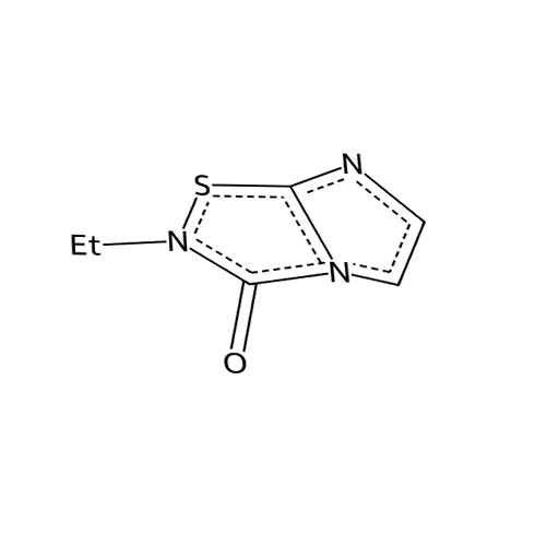 CCn1sc2nccn2c1=O